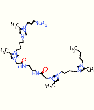 CCCCn1c[n+](CCCCn2cc(C)[n+](CC(=O)NCCCNC(=O)C[n+]3cc(C)n(CCCC[n+]4cc(C)n(CCCN)c4)c3)c2)cc1C